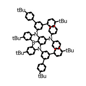 CC(C)(C)c1ccc(-c2cc(-c3ccc(C(C)(C)C)cc3)cc(N3c4ccc(C(C)(C)C)cc4B4c5cc(C(C)(C)C)ccc5N(c5cc(-c6ccc(C(C)(C)C)cc6)cc(-c6ccc(C(C)(C)C)cc6)c5)c5cc(N(c6ccccc6)c6ccccc6)cc3c54)c2)cc1